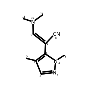 Cc1cnn(C)c1C(C#N)=CN(C)C